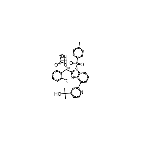 Cc1ccc(S(=O)(=O)n2c([C@H](N[S@@+]([O-])C(C)(C)C)c3ccccc3Cl)nc3c(-c4cc(C(C)(C)O)ccn4)cccc32)cc1